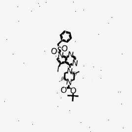 C[C@@H]1CN(c2ncnc3c2c(I)cn3S(=O)(=O)Cc2ccccc2)[C@@H](C)CN1C(=O)OC(C)(C)C